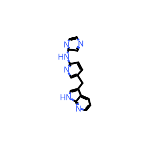 c1cnc2[nH]cc(Cc3ccc(Nc4cnccn4)nc3)c2c1